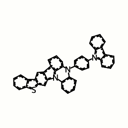 c1ccc2c(c1)N(c1ccc(-n3c4ccccc4c4ccccc43)cc1)c1cccc3c4cc5c(cc4n-2c13)sc1ccccc15